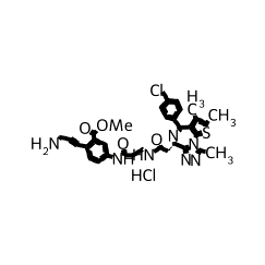 COC(=O)c1cc(NC(=O)CCNC(=O)C[C@@H]2N=C(c3ccc(Cl)cc3)c3c(sc(C)c3C)-n3c(C)nnc32)ccc1C#CCN.Cl